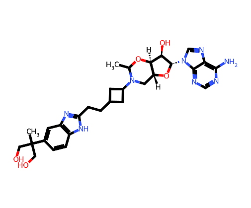 CC1O[C@H]2[C@@H](O)[C@H](n3cnc4c(N)ncnc43)O[C@@H]2CN1C1CC(CCc2nc3cc(C(C)(CO)CO)ccc3[nH]2)C1